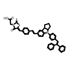 O=C(O)CN1C(=O)C(=Cc2ccc(C=Cc3ccc4c(c3)C3CCCC3N4c3ccc(C=C(c4ccccc4)c4ccccc4)cc3)cc2)SC1=S